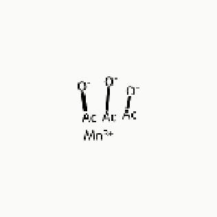 CC(=O)[O-].CC(=O)[O-].CC(=O)[O-].[Mn+3]